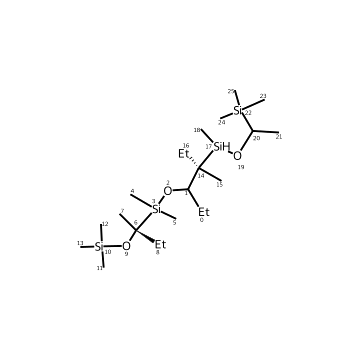 CCC(O[Si](C)(C)[C@](C)(CC)O[Si](C)(C)C)[C@@](C)(CC)[SiH](C)OC(C)[Si](C)(C)C